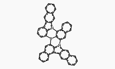 c1ccc2cc3c(cc2c1)c1cccc2c1n3-c1c3c(cc4ccccc14)-n1c4cc5ccccc5cc4c4c5ccccc5cc(c41)B32